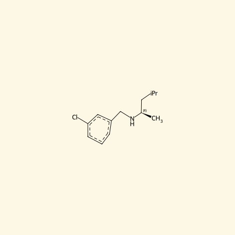 CC(C)C[C@@H](C)NCc1cccc(Cl)c1